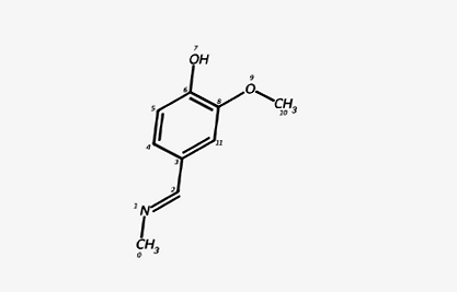 CN=Cc1ccc(O)c(OC)c1